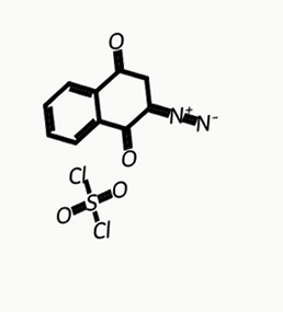 O=S(=O)(Cl)Cl.[N-]=[N+]=C1CC(=O)c2ccccc2C1=O